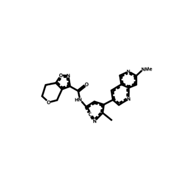 CNc1cc2ncc(-c3cc(NC(=O)c4noc5c4COCC5)cnc3C)cc2cn1